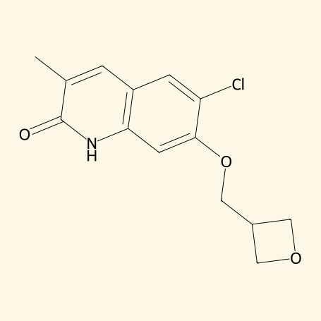 Cc1cc2cc(Cl)c(OCC3COC3)cc2[nH]c1=O